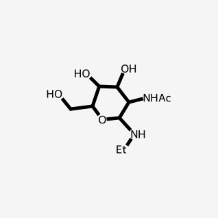 CCNC1OC(CO)C(O)C(O)C1NC(C)=O